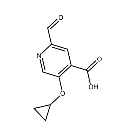 O=Cc1cc(C(=O)O)c(OC2CC2)cn1